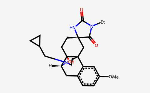 CCN1C(=O)N[C@]2(CC[C@@]3(O)[C@H]4Cc5ccc(OC)cc5[C@@]3(CCN4CC3CC3)C2)C1=O